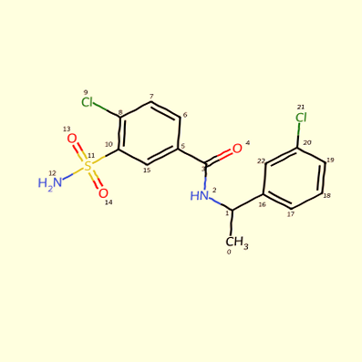 CC(NC(=O)c1ccc(Cl)c(S(N)(=O)=O)c1)c1cccc(Cl)c1